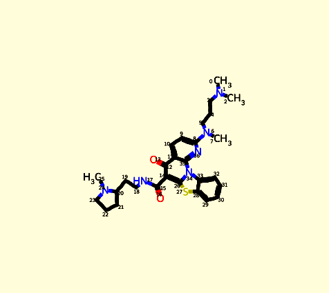 CN(C)CCCN(C)c1ccc2c(=O)c(C(=O)NCCC3CCCN3C)c3sc4ccccc4n3c2n1